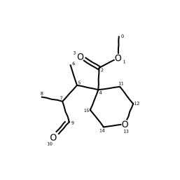 COC(=O)C1(C(C)C(C)C=O)CCOCC1